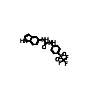 O=C(Nc1ccc(S(=O)(=O)C(F)(F)F)cc1)Nc1ccc2[nH]ccc2c1